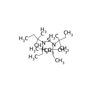 CCC(C)(C)N([Si]N(C(C)(C)CC)C(C)(C)CC)C(C)(C)CC